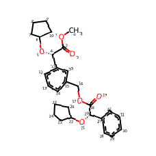 COC(=O)[C@@H](OC1CCCC1)c1cccc(COC(=O)[C@@H](OC2CCCC2)c2ccccc2)c1